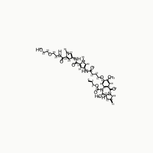 C=CCOC(=O)N1c2cc(OCCCC(=O)Nc3cc(C(=O)Nc4cc(C(=O)NCCOCCO)n(C)c4)n(C)c3)c(OC)cc2C(=O)N2CC(=C)C[C@H]2C1O